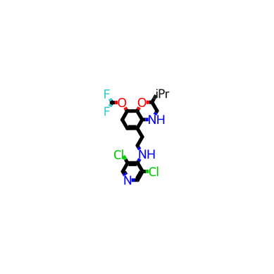 CC(C)C1CNC2C(CCNc3c(Cl)cncc3Cl)=CCC(OC(F)F)C2O1